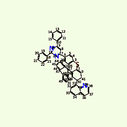 C1=C2Sc3ccc(-c4cc(-c5ccccc5)nc(-c5ccccc5)n4)cc3C3(C2=CC(c2cccc4cccnc24)C1)c1ccccc1-c1ccccc13